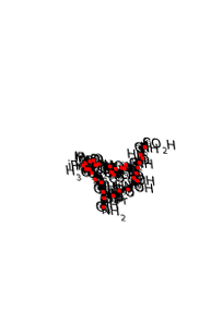 CC[C@H](C)[C@@H]([C@@H](CC(=O)N1CCC[C@H]1[C@H](OC)[C@@H](C)C(=O)N[C@H](C)[C@@H](O)c1ccccc1)OC)N(C)C(=O)[C@@H](NC(=O)[C@H](C(C)C)N(C)C(=O)OCc1ccc(NC(=O)[C@H](CCCNC(N)=O)NC(=O)[C@@H](NC(=O)[C@@H](N)CCC(=O)NC[C@H]2O[C@@H](CC(=O)NCC(=O)NCC(=O)NCC(=O)NCC(=O)O)[C@H](O)[C@@H]2O)C(C)C)cc1)C(C)C